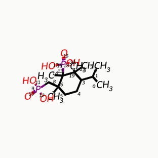 CC(C)C1CCC(C)(CP(=O)(O)O)C(C)(P(=O)(O)O)C1(C)C